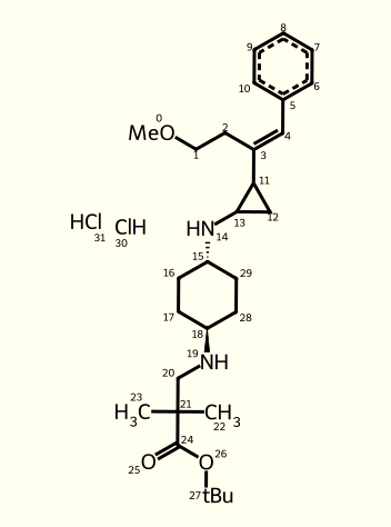 COCC/C(=C\c1ccccc1)C1CC1N[C@H]1CC[C@H](NCC(C)(C)C(=O)OC(C)(C)C)CC1.Cl.Cl